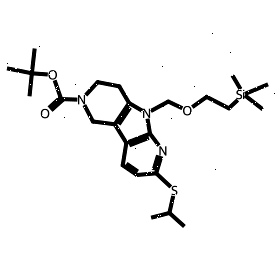 CC(C)Sc1ccc2c3c(n(COCC[Si](C)(C)C)c2n1)CCN(C(=O)OC(C)(C)C)C3